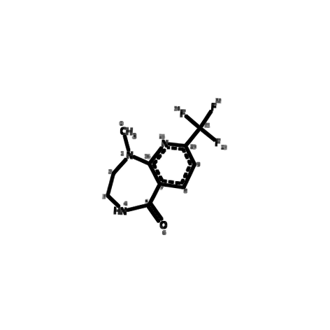 CN1CCNC(=O)c2ccc(C(F)(F)F)nc21